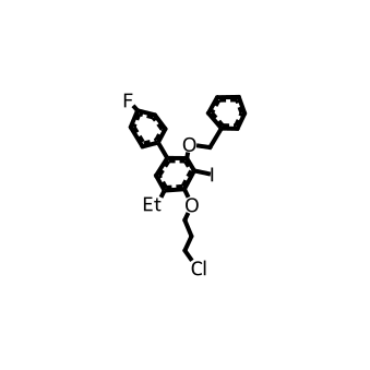 CCc1cc(-c2ccc(F)cc2)c(OCc2ccccc2)c(I)c1OCCCCl